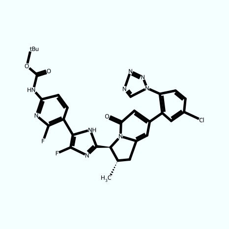 C[C@H]1Cc2cc(-c3cc(Cl)ccc3-n3cnnn3)cc(=O)n2[C@@H]1c1nc(F)c(-c2ccc(NC(=O)OC(C)(C)C)nc2F)[nH]1